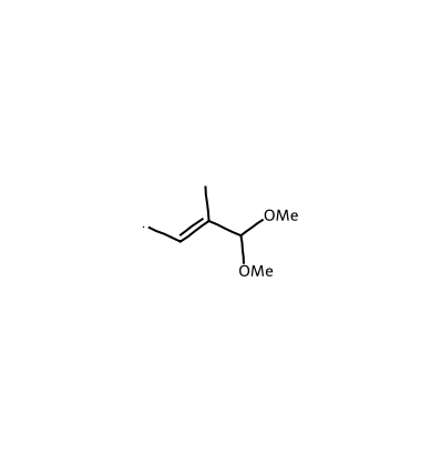 [CH2]C=C(C)C(OC)OC